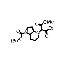 CCC(=O)C(C(=O)OC)N1CCCC2C1CCN2C(=O)OC(C)(C)C